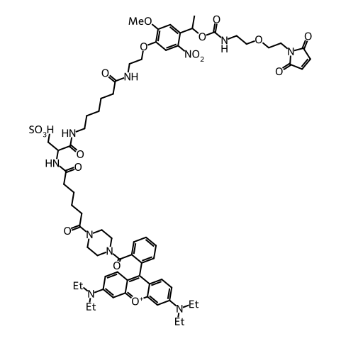 CCN(CC)c1ccc2c(-c3ccccc3C(=O)N3CCN(C(=O)CCCCC(=O)NC(CS(=O)(=O)O)C(=O)NCCCCCC(=O)NCCOc4cc([N+](=O)[O-])c(C(C)OC(=O)NCCOCCN5C(=O)C=CC5=O)cc4OC)CC3)c3ccc(N(CC)CC)cc3[o+]c2c1